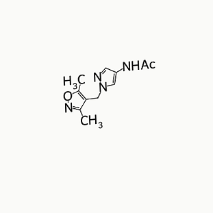 CC(=O)Nc1cnn(Cc2c(C)noc2C)c1